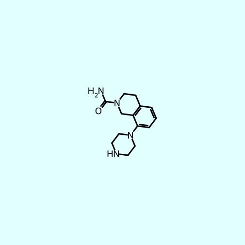 NC(=O)N1CCc2cccc(N3CCNCC3)c2C1